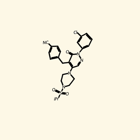 CC(C)S(=O)(=O)N1CCN(c2cnn(-c3cccc(Cl)c3)c(=O)c2Cc2ccc(C#N)cc2)CC1